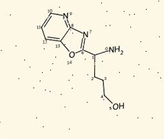 NC(CCCO)c1nc2ncccc2o1